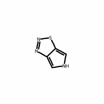 c1[nH]cc2snnc12